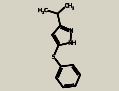 CC(C)c1cc(Sc2ccccc2)[nH]n1